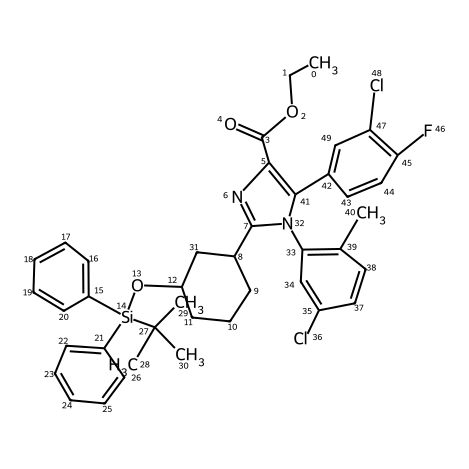 CCOC(=O)c1nc(C2CCCC(O[Si](c3ccccc3)(c3ccccc3)C(C)(C)C)C2)n(-c2cc(Cl)ccc2C)c1-c1ccc(F)c(Cl)c1